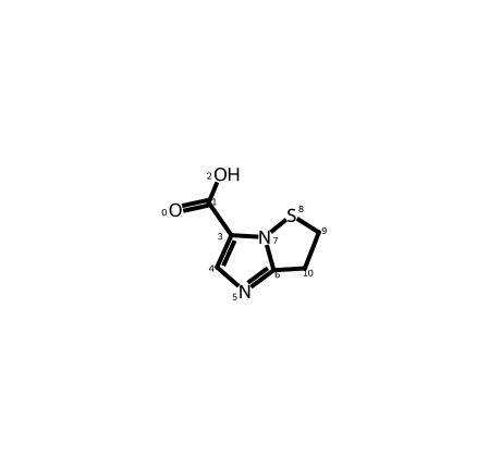 O=C(O)c1cnc2n1SCC2